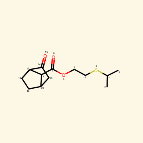 CC(C)SCCOC(=O)C1C2CCC1C(=O)C2